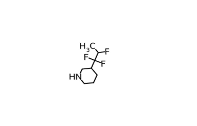 CC(F)C(F)(F)C1CCCNC1